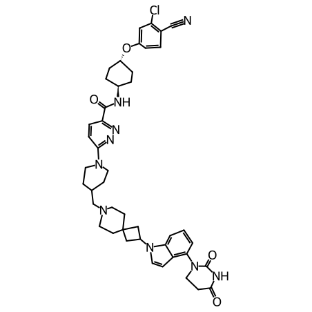 N#Cc1ccc(O[C@H]2CC[C@H](NC(=O)c3ccc(N4CCC(CN5CCC6(CC5)CC(n5ccc7c(N8CCC(=O)NC8=O)cccc75)C6)CC4)nn3)CC2)cc1Cl